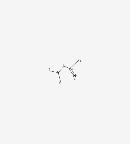 CC(=[N])CC(C)C